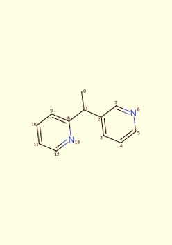 CC(c1cccnc1)c1ccccn1